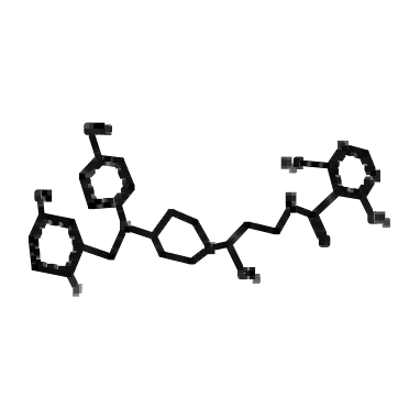 COc1ccc(N(Cc2cc(C#N)ccc2F)C2CCN(C(C)CCNC(=O)c3c(C)ncnc3C)CC2)cc1